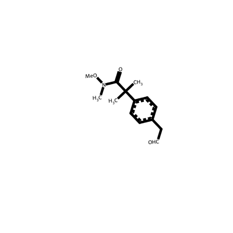 CON(C)C(=O)C(C)(C)c1ccc(CC=O)cc1